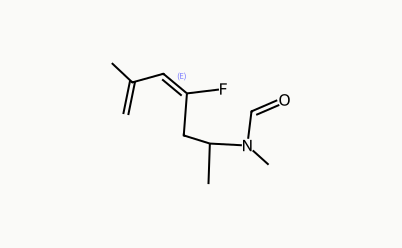 C=C(C)/C=C(/F)CC(C)N(C)C=O